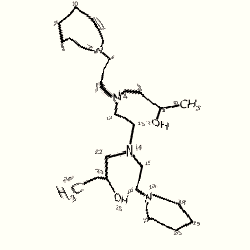 CC(O)CN(CCN1CCCC1)CCN(CCN1CCCC1)CC(C)O